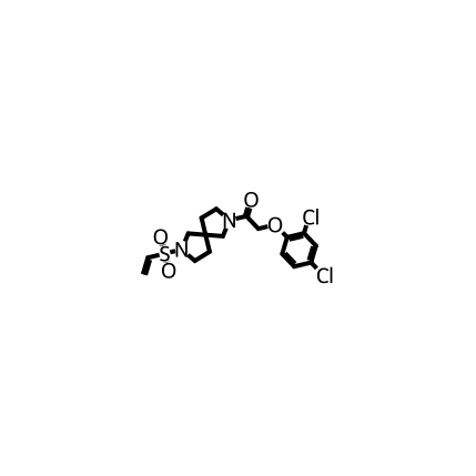 C=CS(=O)(=O)N1CCC2(CCN(C(=O)COc3ccc(Cl)cc3Cl)C2)C1